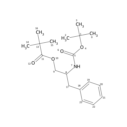 CC(C)(C)OC(=O)NC(COC(=O)C(C)(C)C)Cc1ccccc1